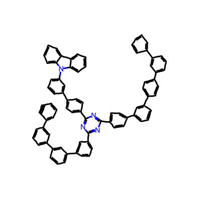 c1cccc(-c2cccc(-c3cccc(-c4cccc(-c5nc(-c6ccc(-c7cccc(-c8ccc(-c9cccc(-c%10ccccc%10)c9)cc8)c7)cc6)nc(-c6ccc(-c7cccc(-n8c9ccccc9c9ccccc98)c7)cc6)n5)c4)c3)c2)c#1